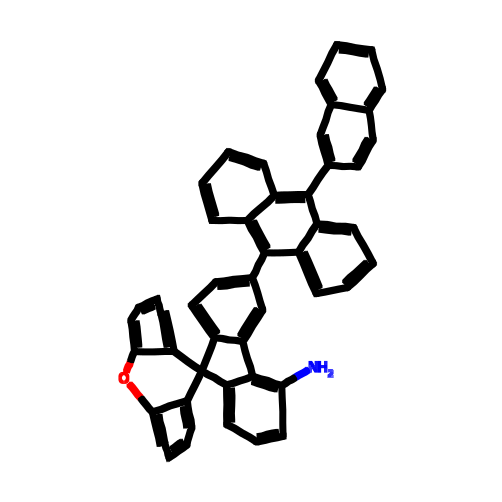 Nc1cccc2c1-c1cc(-c3c4ccccc4c(-c4ccc5ccccc5c4)c4ccccc34)ccc1C21c2ccccc2Oc2ccccc21